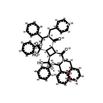 O=C(O)[C@H]1[C@H](C(=O)O)[C@H](C(=O)N(Cc2ccncc2)C(Oc2ccccc2)c2ccccc2)[C@H]1C(=O)N(Cc1ccncc1)C(Oc1ccccc1)c1ccccc1